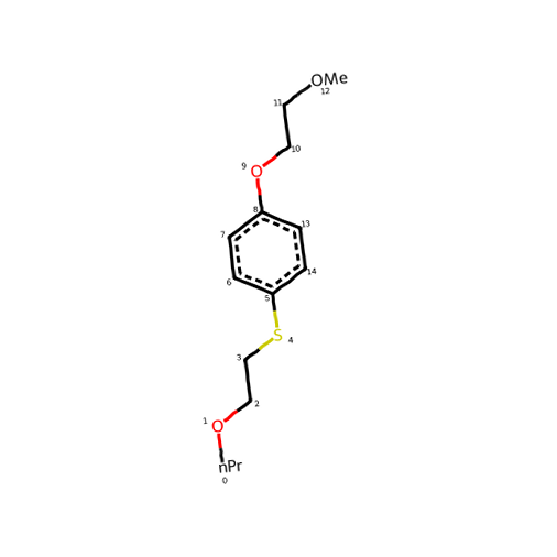 CCCOCCSc1ccc(OCCOC)cc1